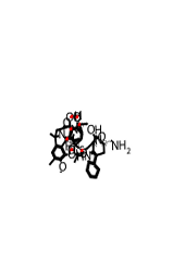 COc1c(C)cc2c(c1O)[C@@H]1C3[C@@H]4SC[C@]5(N[C@H](CN)Cc6c5[nH]c5ccccc65)C(=O)OC[C@@H](c5c6c(c(C)c(OC(C)=O)c54)OCO6)N3C3(O)CN1C2(C)C3